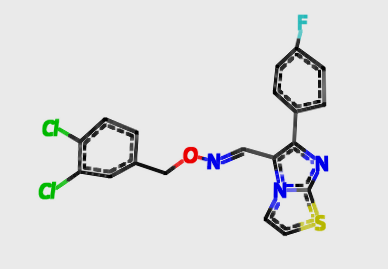 Fc1ccc(-c2nc3sccn3c2/C=N/OCc2ccc(Cl)c(Cl)c2)cc1